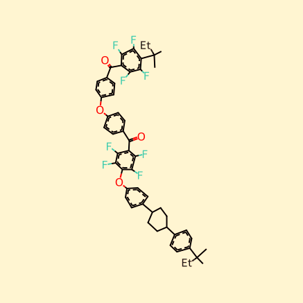 CCC(C)(C)c1ccc(C2CCC(c3ccc(Oc4c(F)c(F)c(C(=O)c5ccc(Oc6ccc(C(=O)c7c(F)c(F)c(C(C)(C)CC)c(F)c7F)cc6)cc5)c(F)c4F)cc3)CC2)cc1